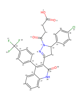 O=C(O)CCC(=O)N1N=C(c2c(-c3ccc(C(F)(F)F)cc3)c3ccccc3[nH]c2=O)CC1c1ccc(Cl)cc1